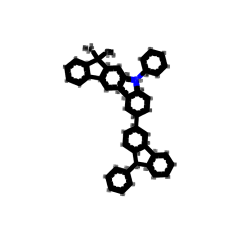 CC1(C)c2ccccc2-c2cc3c4cc(-c5ccc6c(c5)-c5ccccc5C6c5ccccc5)ccc4n(-c4ccccc4)c3cc21